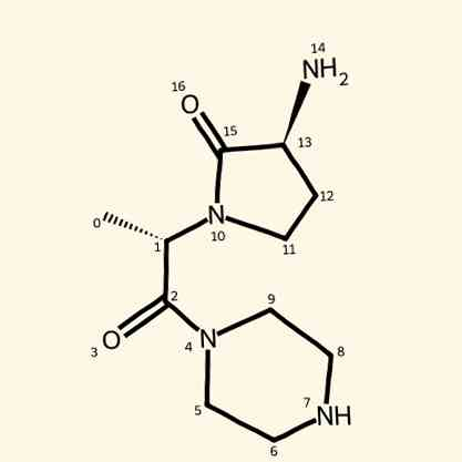 C[C@@H](C(=O)N1CCNCC1)N1CC[C@H](N)C1=O